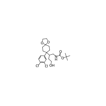 CC(C)(C)OC(=O)NCC(CCO)C1(c2ccc(Cl)c(Cl)c2)CCC2(CC1)OCCO2